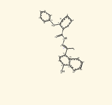 C/C(=N\NC(=O)c1ccccc1Oc1ccccc1)c1ccc(O)c2ncccc12